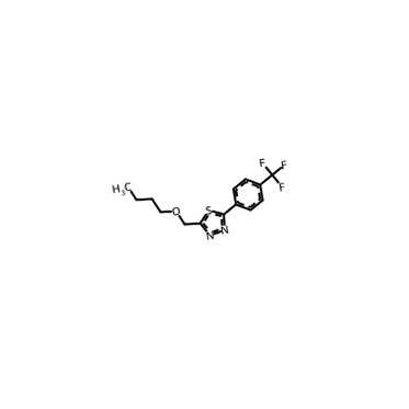 CCCCOCc1nnc(-c2ccc(C(F)(F)F)cc2)s1